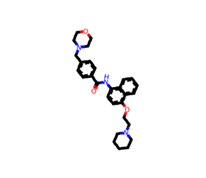 O=C(Nc1ccc(OCCN2CCCCC2)c2ccccc12)c1ccc(CN2CCOCC2)cc1